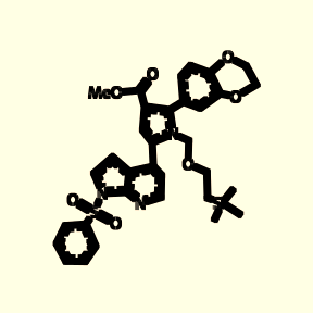 COC(=O)c1cc(-c2ccnc3c2ccn3S(=O)(=O)c2ccccc2)n(COCC[Si](C)(C)C)c1-c1ccc2c(c1)OCCO2